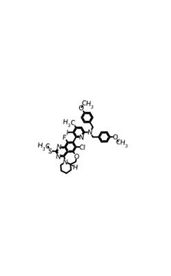 COc1ccc(CN(Cc2ccc(OC)cc2)c2cc(C)c(I)c(-c3c(Cl)c4c5c(nc(SC)nc5c3F)N3CCCC[C@H]3CO4)n2)cc1